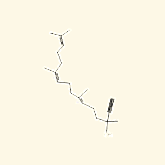 C#CC(C)(O)CC/C=C(\C)CC/C=C(/C)CCC=C(C)C